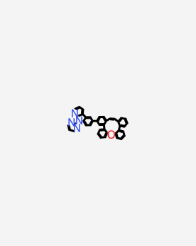 C1=C\c2ccc(-c3ccc4c(c3)c3cccnc3n4-c3ncccn3)cc2-c2ccccc2Oc2ccccc2-c2ccccc2/1